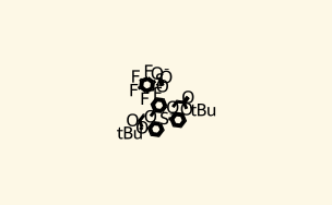 CC(C)(C)OC(=O)COc1cccc(OCC(=O)OC(C)(C)C)c1[S+](c1ccccc1)c1ccccc1.O=S(=O)([O-])c1c(F)c(F)c(F)c(F)c1F